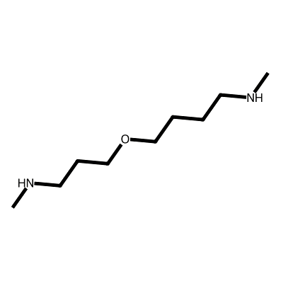 CNCCCCOCCCNC